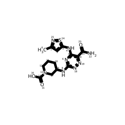 Cc1cc(Nc2nc(NC3CCCN(C(=O)O)C3)nnc2C(N)=O)sn1